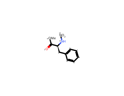 COC(=O)[C@H](Cc1ccccc1)N[N+](=O)[O-]